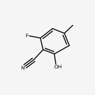 Cc1cc(O)c(C#N)c(F)c1